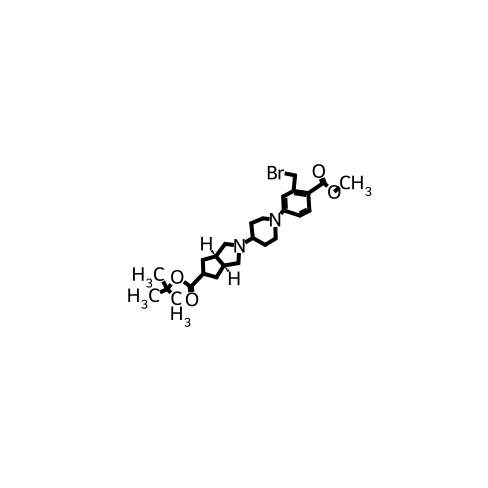 COC(=O)c1ccc(N2CCC(N3C[C@H]4CC(C(=O)OC(C)(C)C)C[C@H]4C3)CC2)cc1CBr